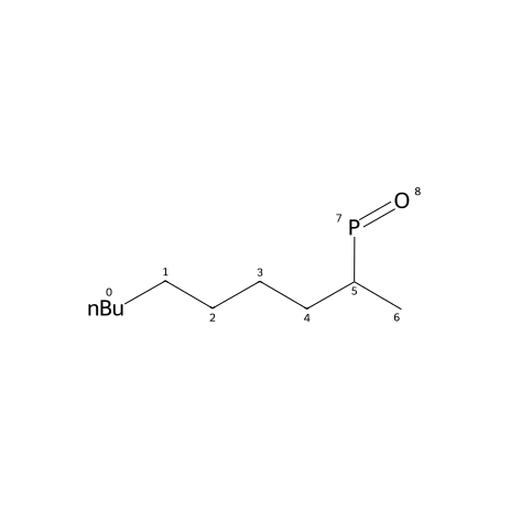 CCCCCCCCC(C)P=O